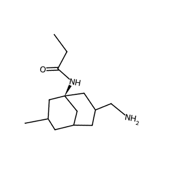 CCC(=O)N[C@@]12CC(C)CC(CC(CN)C1)C2